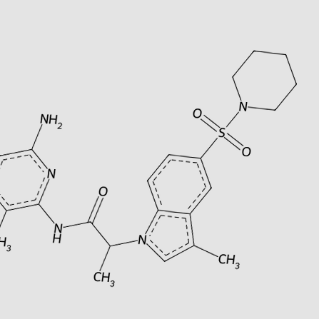 Cc1ccc(N)nc1NC(=O)C(C)n1cc(C)c2cc(S(=O)(=O)N3CCCCC3)ccc21